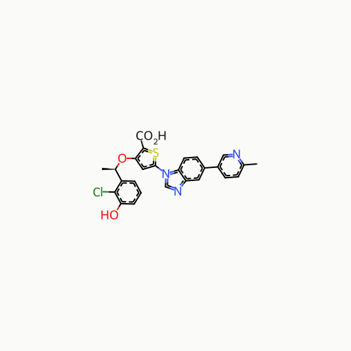 Cc1ccc(-c2ccc3c(c2)ncn3-c2cc(O[C@H](C)c3cccc(O)c3Cl)c(C(=O)O)s2)cn1